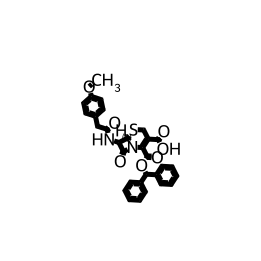 COc1ccc(CC(=O)NC2C(=O)N3C(C(=O)OC(c4ccccc4)c4ccccc4)=C(C(=O)O)CS[C@H]23)cc1